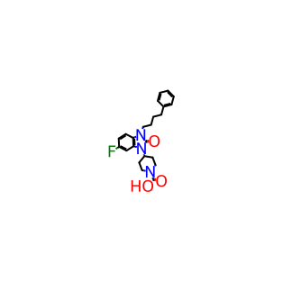 O=C(O)N1CCC(n2c(=O)n(CCCCc3ccccc3)c3ccc(F)cc32)CC1